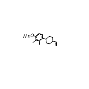 C=CC1CCC(c2ccc(OC)c(C)c2C)CC1